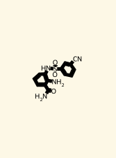 N#Cc1cccc(S(=O)(=O)Nc2cccc(C(N)=O)c2N)c1